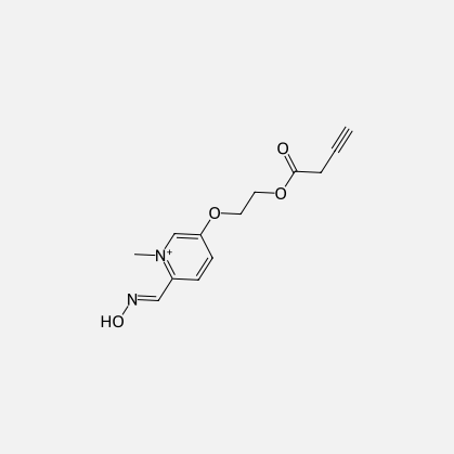 C#CCC(=O)OCCOc1ccc(C=NO)[n+](C)c1